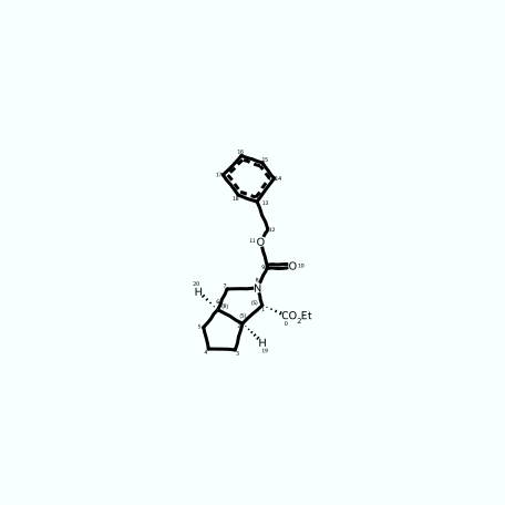 CCOC(=O)[C@@H]1[C@H]2CCC[C@H]2CN1C(=O)OCc1ccccc1